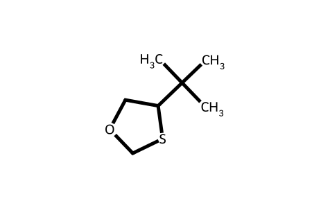 CC(C)(C)C1COCS1